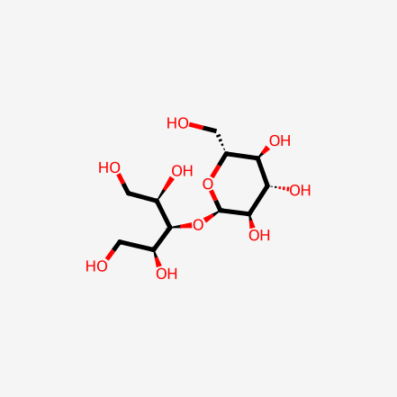 OC[C@@H](O)[C@@H](O[C@H]1O[C@H](CO)[C@@H](O)[C@H](O)[C@H]1O)[C@@H](O)CO